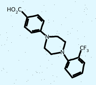 O=C(O)c1ccc(N2CCN(c3ccccc3C(F)(F)F)CC2)cc1